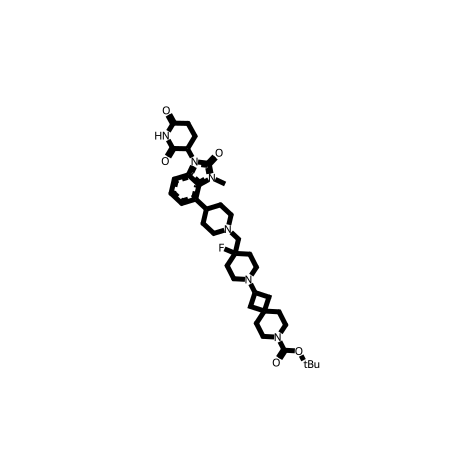 Cn1c(=O)n(C2CCC(=O)NC2=O)c2cccc(C3CCN(CC4(F)CCN(C5CC6(CCN(C(=O)OC(C)(C)C)CC6)C5)CC4)CC3)c21